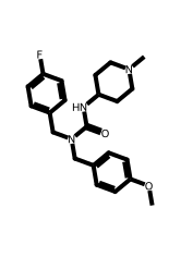 COc1ccc(CN(Cc2ccc(F)cc2)C(=O)NC2CCN(C)CC2)cc1